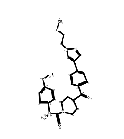 COCCn1cc(-c2ccc(C(=O)C3CCN(C(=O)N(C)c4ccc(OC)cc4)CC3)cc2)cn1